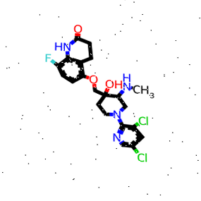 CNC1CN(c2ncc(Cl)cc2Cl)CCC1(O)COc1ccc(F)c2c1CCC(=O)N2